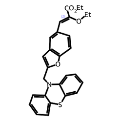 CCOC(=O)/C(=C/c1ccc2oc(CN3c4ccccc4Sc4ccccc43)cc2c1)OCC